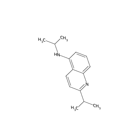 CC(C)Nc1cccc2nc(C(C)C)ccc12